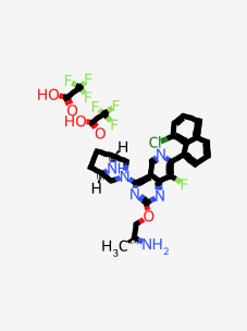 C[C@H](N)COc1nc(N2C[C@H]3CC[C@@H](C2)N3)c2cnc(-c3cccc4cccc(Cl)c34)c(F)c2n1.O=C(O)C(F)(F)F.O=C(O)C(F)(F)F